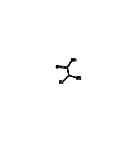 CCC(C#N)C([NH])=O